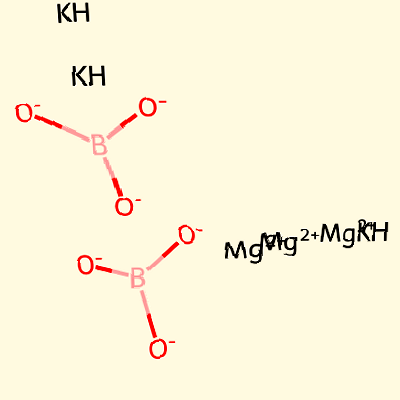 [KH].[KH].[KH].[Mg+2].[Mg+2].[Mg+2].[O-]B([O-])[O-].[O-]B([O-])[O-]